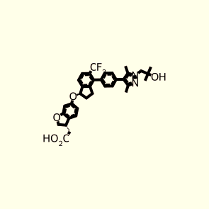 Cc1nn(CC(C)(C)O)c(C)c1-c1ccc(-c2c(C(F)(F)F)ccc3c2CC[C@H]3Oc2ccc3c(c2)OC[C@H]3CC(=O)O)cc1